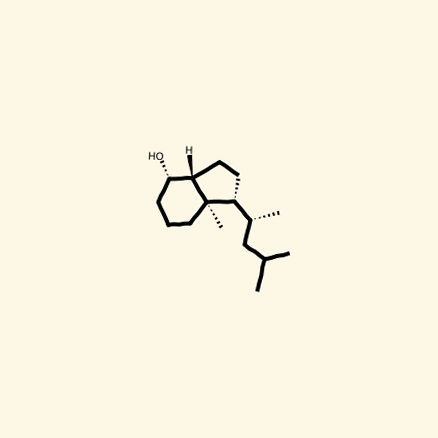 CC(C)C[C@@H](C)[C@H]1CC[C@H]2[C@@H](O)CCC[C@]12C